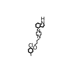 Cc1ccc(Cl)c(OCCCCN2CCN(c3cccc4[nH]ccc34)CC2)c1